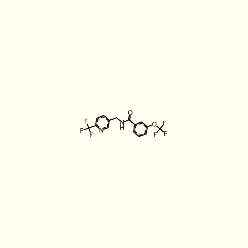 O=C(NCc1ccc(C(F)(F)F)nc1)c1cccc(OC(F)(F)F)c1